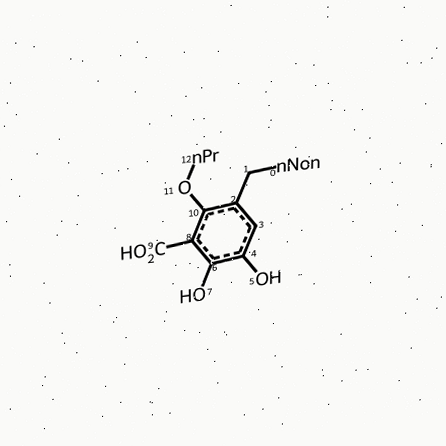 CCCCCCCCCCc1cc(O)c(O)c(C(=O)O)c1OCCC